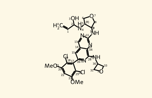 C=CC(O)N[C@H]1COC[C@H]1Nc1ncc2cc(-c3c(Cl)c(OC)cc(OC)c3Cl)nc(NC3COC3)c2n1